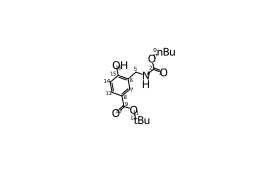 CCCCOC(=O)NCc1cc(C(=O)OC(C)(C)C)ccc1O